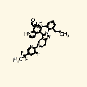 CCCc1cccc(CC)c1-n1nc2c(c1-c1ccc(C=O)c3[nH]ccc13)CN(c1ncc(C(C)(F)F)cc1F)CC2